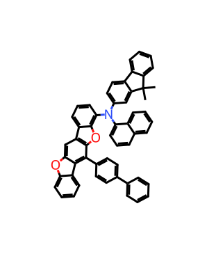 CC1(C)c2ccccc2-c2ccc(N(c3cccc4ccccc34)c3cccc4c3oc3c(-c5ccc(-c6ccccc6)cc5)c5c(cc34)oc3ccccc35)cc21